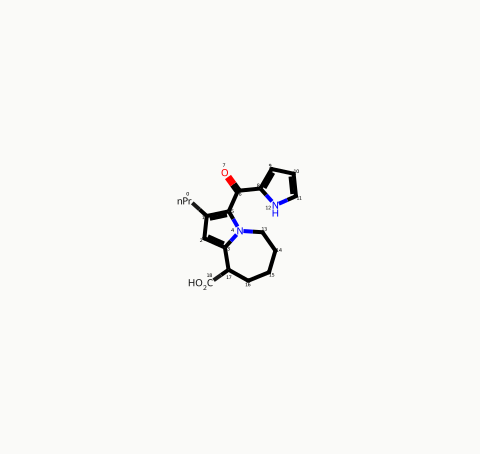 CCCc1cc2n(c1C(=O)c1ccc[nH]1)CCCCC2C(=O)O